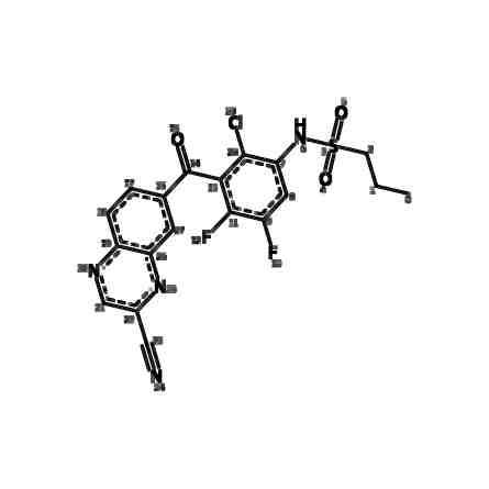 CCCS(=O)(=O)Nc1cc(F)c(F)c(C(=O)c2ccc3ncc(C#N)nc3c2)c1Cl